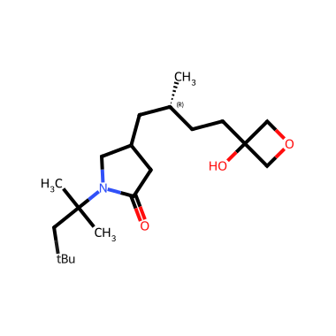 C[C@H](CCC1(O)COC1)CC1CC(=O)N(C(C)(C)CC(C)(C)C)C1